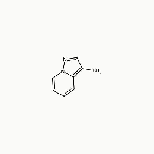 Bc1cnn2ccccc12